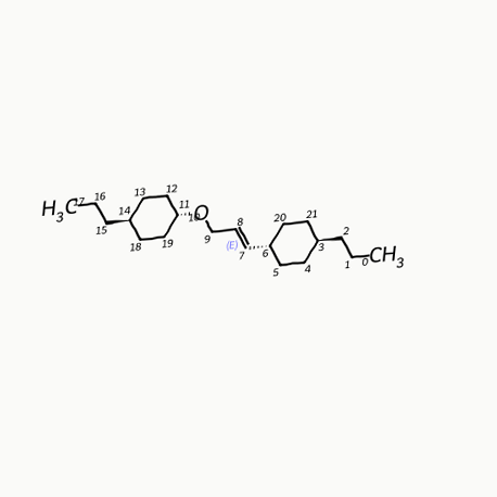 CCC[C@H]1CC[C@H](/C=C/CO[C@H]2CC[C@H](CCC)CC2)CC1